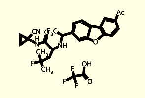 CC(=O)c1ccc2oc3cc(C(NC(CC(C)(C)F)C(=O)NC4(C#N)CC4)C(F)(F)F)ccc3c2c1.O=C(O)C(F)(F)F